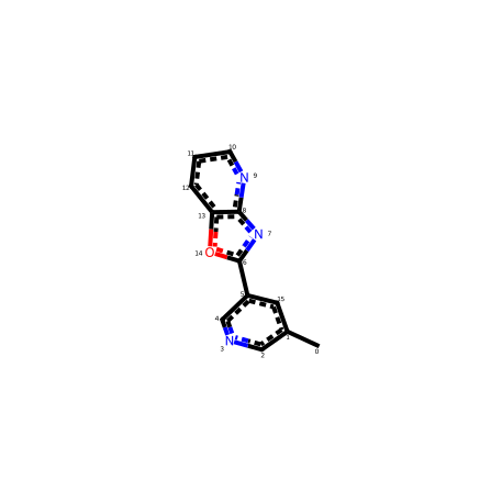 Cc1cncc(-c2nc3ncccc3o2)c1